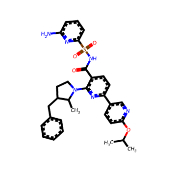 CC(C)Oc1ccc(-c2ccc(C(=O)NS(=O)(=O)c3cccc(N)n3)c(N3CCC(Cc4ccccc4)C3C)n2)cn1